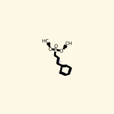 C#COP(=O)(C/C=C/c1ccccc1)OC#C